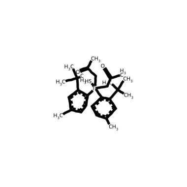 CC(=O)[CH2][Ti]([SH])([CH2]C(C)=O)([c]1ccc(C)cc1C(C)(C)C)[c]1ccc(C)cc1C(C)(C)C